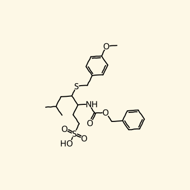 COc1ccc(CSC(CC(C)C)C(CCS(=O)(=O)O)NC(=O)OCc2ccccc2)cc1